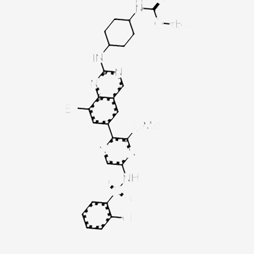 CCc1cc(-c2ncc(NS(=O)(=O)c3ccccc3Cl)nc2OC)cc2cnc(NC3CCC(NC(=O)OC(C)(C)C)CC3)nc12